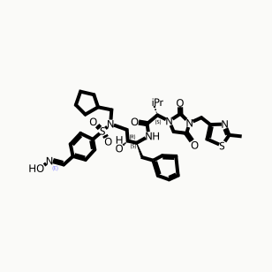 Cc1nc(CN2C(=O)CN([C@H](C(=O)N[C@@H](Cc3ccccc3)[C@H](O)CN(CC3CCCC3)S(=O)(=O)c3ccc(/C=N/O)cc3)C(C)C)C2=O)cs1